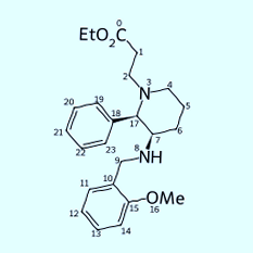 CCOC(=O)CCN1CCC[C@@H](NCc2ccccc2OC)[C@H]1c1ccccc1